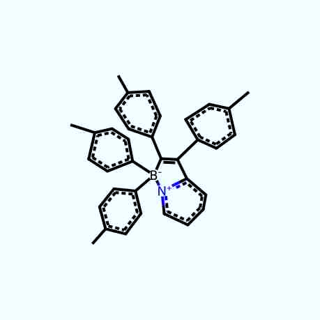 Cc1ccc(C2=C(c3ccc(C)cc3)[B-](c3ccc(C)cc3)(c3ccc(C)cc3)[n+]3ccccc32)cc1